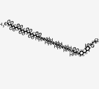 CNCC(=O)NC1CCC(CC2CCC(NC(=O)CC(=O)NCNNCNNCNNCNNCNNCNNCNC(=O)CC(=O)C(=O)CC(=O)C(=O)CC(=O)C(=O)CC(=O)C(=O)CC(=O)C(=O)CC(=O)C(=O)CC(C)=O)CC2)CC1